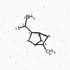 BC(I)C1CC2CC1CC2C